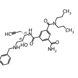 C#CC[C@H](NC(=O)c1cc(C(N)=O)cc(C(=O)N(CCC)CCC)c1)[C@H](O)CNCc1ccccc1